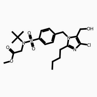 CCCCc1nc(Cl)c(CO)n1Cc1ccc(S(=O)(=O)N(CC(=O)OC)C(C)(C)C)cc1